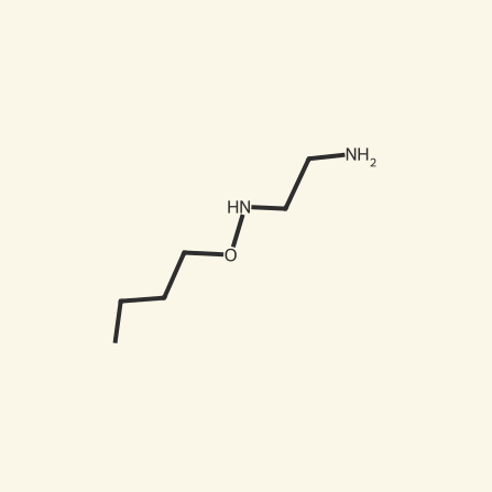 CCCCONCCN